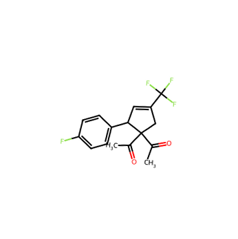 CC(=O)C1(C(C)=O)CC(C(F)(F)F)=CC1c1ccc(F)cc1